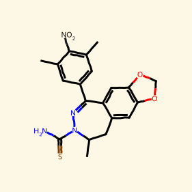 Cc1cc(C2=NN(C(N)=S)C(C)Cc3cc4c(cc32)OCO4)cc(C)c1[N+](=O)[O-]